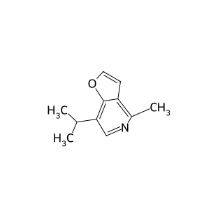 Cc1ncc(C(C)C)c2occc12